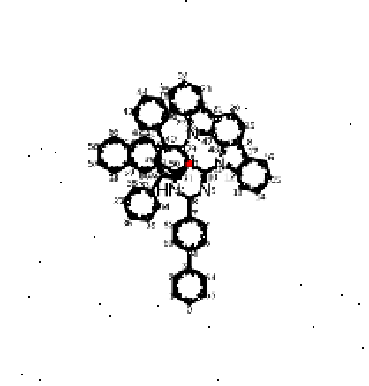 c1ccc(-c2ccc(C3N=C(n4c5ccccc5c5ccc6c7ccccc7n(-c7ccc(-c8ccccc8)cc7-c7ccccc7)c6c54)N=C(c4ccc5ccccc5c4)N3)cc2)cc1